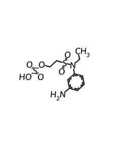 CCN(c1cccc(N)c1)S(=O)(=O)CCOS(=O)(=O)O